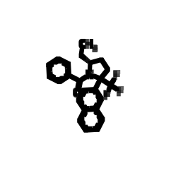 CC[C@H]1CCC(c2ccc3ccccc3c2)(C(F)(F)F)N1C(=O)c1ccccc1